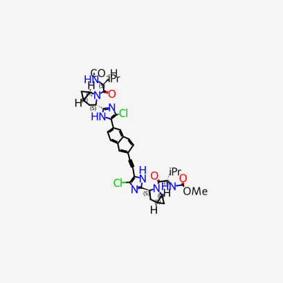 COC(=O)N[C@H](C(=O)N1[C@@H]2C[C@H]2C[C@H]1c1nc(Cl)c(C#Cc2ccc3cc(-c4[nH]c([C@@H]5C[C@H]6C[C@H]6N5C(=O)[C@@H](NC(=O)O)C(C)C)nc4Cl)ccc3c2)[nH]1)C(C)C